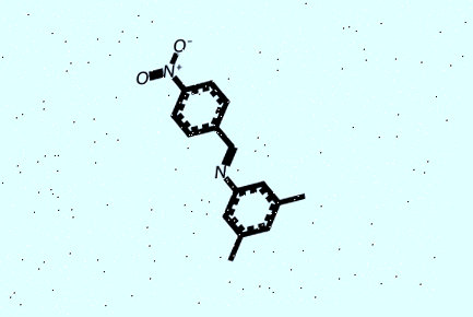 Cc1cc(C)cc(N=Cc2ccc([N+](=O)[O-])cc2)c1